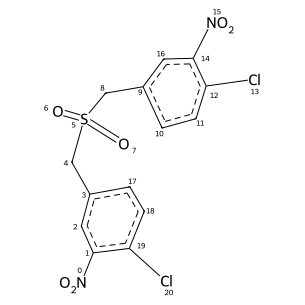 O=[N+]([O-])c1cc(CS(=O)(=O)Cc2ccc(Cl)c([N+](=O)[O-])c2)ccc1Cl